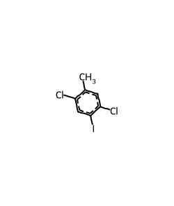 Cc1cc(Cl)c(I)cc1Cl